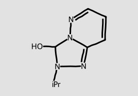 CC(C)N1N=C2C=CC=NN2C1O